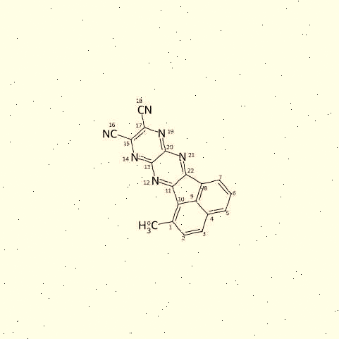 Cc1ccc2cccc3c2c1-c1nc2nc(C#N)c(C#N)nc2nc1-3